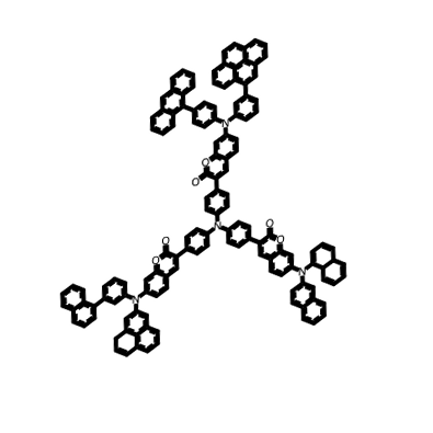 O=c1oc2cc(N(C3=CC=CC4C=CC=CC34)c3ccc4ccccc4c3)ccc2cc1-c1ccc(N(c2ccc(-c3cc4ccc(N(c5ccc(-c6c7ccccc7cc7ccccc67)cc5)c5cccc(-c6cc7cccc8ccc9cccc6c9c87)c5)cc4oc3=O)cc2)c2ccc(-c3cc4ccc(N(c5cccc(-c6cccc7ccccc67)c5)c5cc6c7c(cccc7c5)C=CC6)cc4oc3=O)cc2)cc1